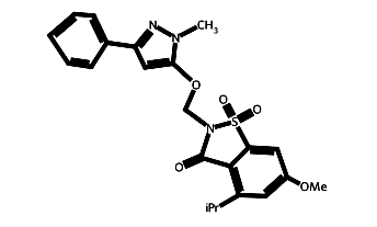 COc1cc(C(C)C)c2c(c1)S(=O)(=O)N(COc1cc(-c3ccccc3)nn1C)C2=O